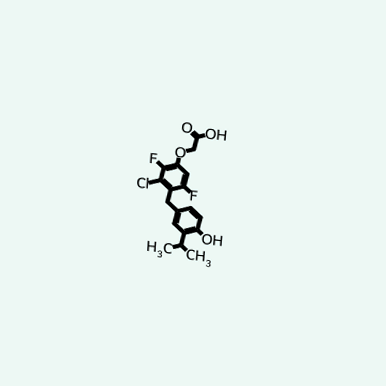 CC(C)c1cc(Cc2c(F)cc(OCC(=O)O)c(F)c2Cl)ccc1O